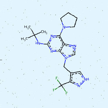 CC(C)(C)Nc1nc(N2CCCC2)c2ncn(Cc3c[nH]nc3C(F)(F)F)c2n1